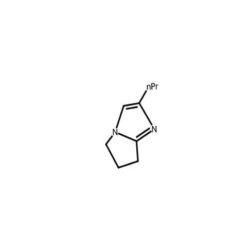 CCCc1cn2c(n1)CCC2